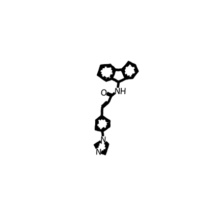 O=C(C=Cc1ccc(-n2ccnc2)cc1)NC1c2ccccc2-c2ccccc21